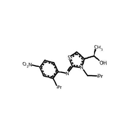 CC(C)Cn1c([C@@H](C)O)csc1=Nc1ccc([N+](=O)[O-])cc1C(C)C